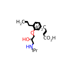 C=CCc1ccccc1OC[C@@H](O)CNC(C)C.O=C(O)C=CC(=O)O